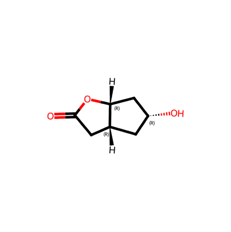 O=C1C[C@H]2C[C@@H](O)C[C@H]2O1